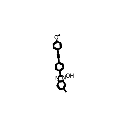 COc1ccc(C#Cc2ccc(-c3nc4ccc(C)cc4n3O)cc2)cc1